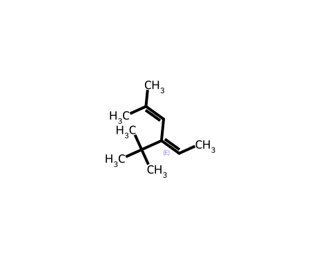 C/C=C(\C=C(C)C)C(C)(C)C